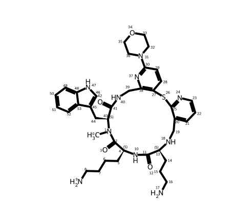 CN1C(=O)[C@H](CCCCN)NC(=O)[C@H](CCCN)NCc2cccnc2Sc2ccc(N3CCOCC3)nc2CNC(=O)[C@@H]1Cc1c[nH]c2ccccc12